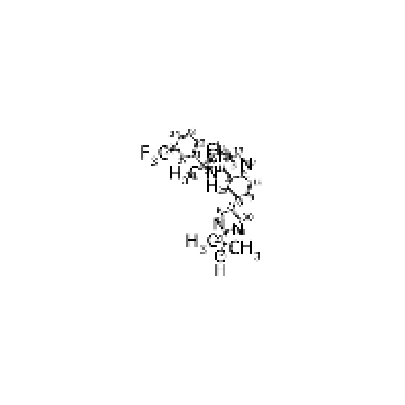 CC(C)(O)c1ncc(-c2ccc3ncc(Cl)c(NC(C)(C)c4cccc(C(F)(F)F)c4)c3c2)cn1